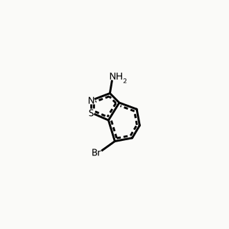 Nc1nsc2c(Br)cccc12